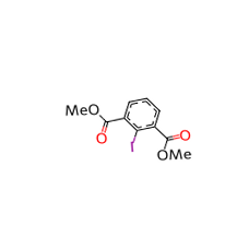 COC(=O)c1cccc(C(=O)OC)c1I